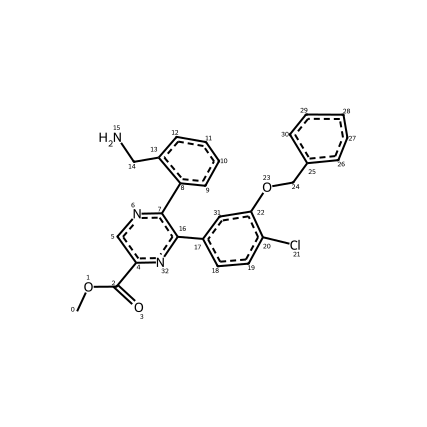 COC(=O)c1cnc(-c2ccccc2CN)c(-c2ccc(Cl)c(OCc3ccccc3)c2)n1